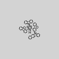 c1ccc2cc3c(cc2c1)c1ccccc1n3-c1cc(C2=NC(n3c4ccccc4c4ccccc43)=NC(c3cccc4c3oc3ccccc34)N2)c2c(c1)oc1ccccc12